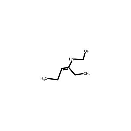 CC/C=C(\CC)NCO